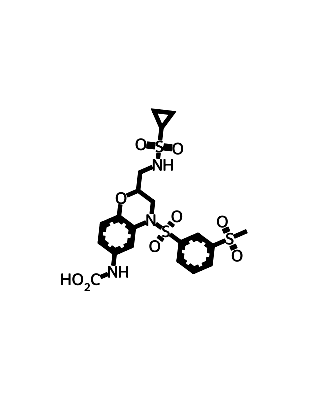 CS(=O)(=O)c1cccc(S(=O)(=O)N2CC(CNS(=O)(=O)C3CC3)Oc3ccc(NC(=O)O)cc32)c1